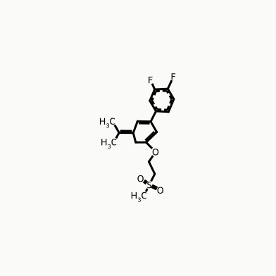 CC(C)=C1C=C(c2ccc(F)c(F)c2)C=C(OCCS(C)(=O)=O)C1